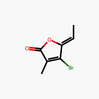 C/C=C1\OC(=O)C(C)=C1Br